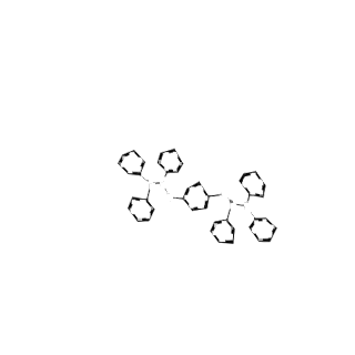 c1ccc(P(Oc2ccc(OP(c3ccccc3)P(c3ccccc3)c3ccccc3)cc2)P(c2ccccc2)c2ccccc2)cc1